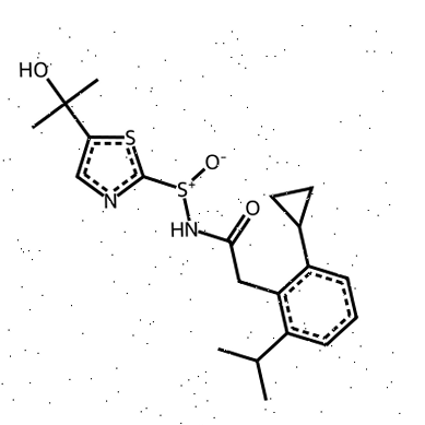 CC(C)c1cccc(C2CC2)c1CC(=O)N[S+]([O-])c1ncc(C(C)(C)O)s1